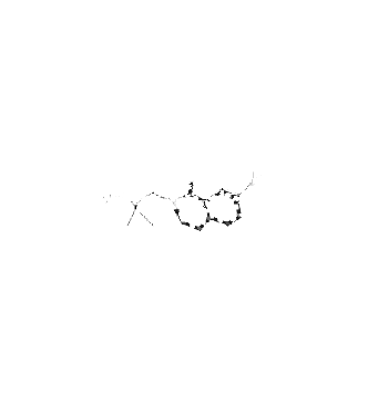 COC(C)(C)Cn1ccc2ccc(Br)cc2c1=O